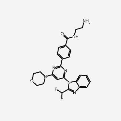 NCCNC(=O)c1ccc(-c2nc(N3CCOCC3)cc(-n3c(C(F)F)nc4ccccc43)n2)cc1